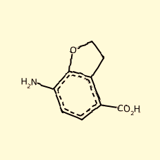 Nc1ccc(C(=O)O)c2c1OCC2